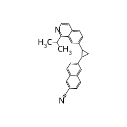 CC(C)c1nccc2ccc(C3CC3c3ccc4cc(C#N)ccc4c3)cc12